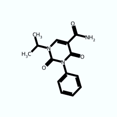 CC(C)n1cc(C(N)=O)c(=O)n(-c2ccccc2)c1=O